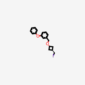 IC[C@H]1C[C@@H](OCc2cccc(Oc3ccccc3)c2)C1